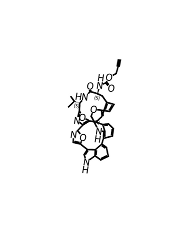 C#CCOC(=O)N[C@H]1Cc2ccc3c(c2)[C@]24c5cccc(c5NC2O3)-c2cccc3[nH]cc(c23)-c2cnc(o2)-c2nc(oc24)[C@H](C(C)C)NC1=O